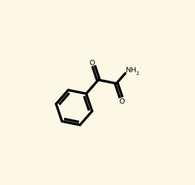 NC(=O)C(=O)c1ccccc1